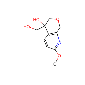 COc1ccc2c(n1)COCC2(O)CO